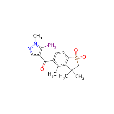 Cc1c(C(=O)c2cnn(C)c2P)ccc2c1C(C)(C)CS2(=O)=O